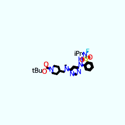 CC(C)N(F)S(=O)(=O)c1ccccc1Nc1cc(N(C)CC2CCN(C(=O)OC(C)(C)C)CC2)ncn1